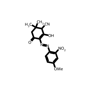 COc1ccc(/N=N/C2=C(O)C(C#N)C(C)(C)CC2=O)c([N+](=O)[O-])c1